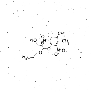 CCCOC(CCO)Oc1c([N+](=O)[O-])cc(C)c(C)c1[N+](=O)[O-]